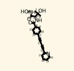 CC(C)(O)[C@H](NC(=O)c1ccc(C#CC#Cc2ccccn2)cc1)C(=O)NO